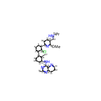 COc1nc(-c2cccc(-c3cccc(Nc4nc(C)nc5cccnc45)c3C)c2Cl)ccc1CNC(C)C